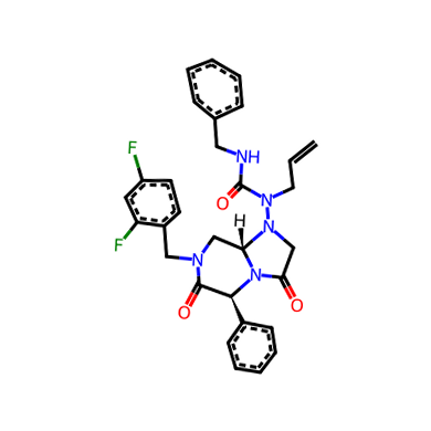 C=CCN(C(=O)NCc1ccccc1)N1CC(=O)N2[C@@H](c3ccccc3)C(=O)N(Cc3ccc(F)cc3F)C[C@@H]21